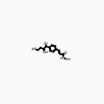 CCC(C(=N)CCC(C)C)c1ccc(/C=C/C(=O)NO)cc1